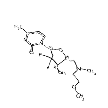 COCCN(C)C[C@H]1O[C@@H](n2ccc(C)nc2=O)C(F)(F)[C@@H]1O